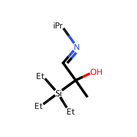 CC[Si](CC)(CC)C(C)(O)C=NC(C)C